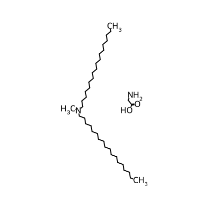 CCCCCCCCCCCCCCCCCCN(C)CCCCCCCCCCCCCCCCCC.NCC(=O)O